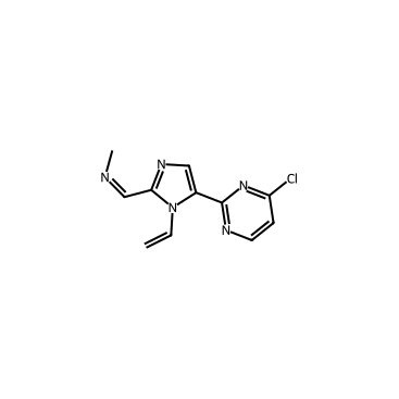 C=Cn1c(-c2nccc(Cl)n2)cnc1/C=N\C